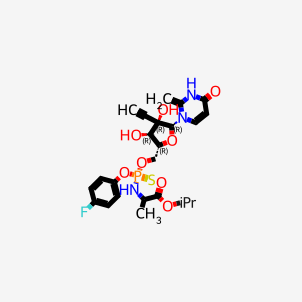 C#C[C@@]1(O)[C@H](O)[C@@H](COP(=S)(NC(C)C(=O)OC(C)C)Oc2ccc(F)cc2)O[C@H]1N1C=CC(=O)NC1=C